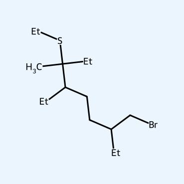 CCSC(C)(CC)C(CC)CCC(CC)CBr